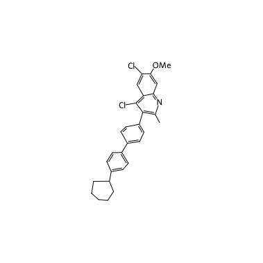 COc1cc2nc(C)c(-c3ccc(-c4ccc(C5CCCCC5)cc4)cc3)c(Cl)c2cc1Cl